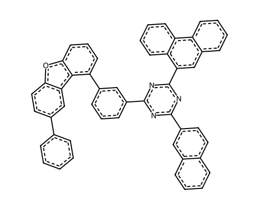 c1ccc(-c2ccc3oc4cccc(-c5cccc(-c6nc(-c7ccc8ccccc8c7)nc(-c7cc8ccccc8c8ccccc78)n6)c5)c4c3c2)cc1